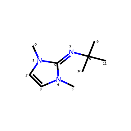 Cn1ccn(C)c1=NC(C)(C)C